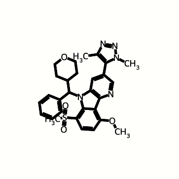 COc1ccc(S(C)(=O)=O)c2c1c1ncc(-c3c(C)nnn3C)cc1n2C(c1ccccc1)C1CCOCC1